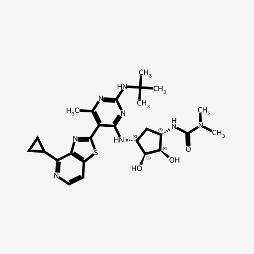 Cc1nc(NC(C)(C)C)nc(N[C@@H]2C[C@H](NC(=O)N(C)C)[C@@H](O)[C@H]2O)c1-c1nc2c(C3CC3)nccc2s1